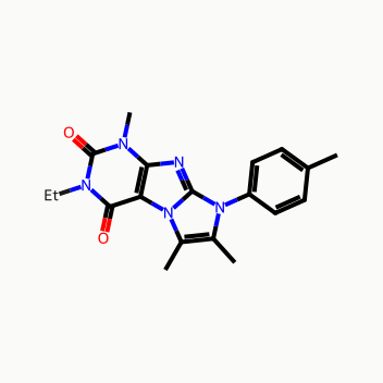 CCn1c(=O)c2c(nc3n(-c4ccc(C)cc4)c(C)c(C)n23)n(C)c1=O